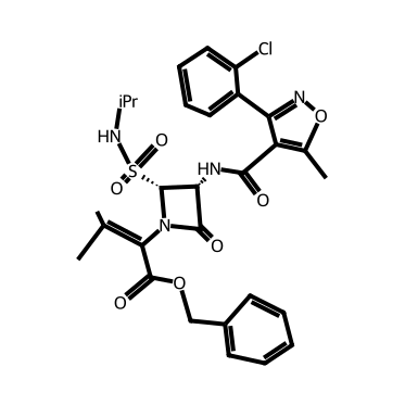 CC(C)=C(C(=O)OCc1ccccc1)N1C(=O)[C@@H](NC(=O)c2c(-c3ccccc3Cl)noc2C)[C@H]1S(=O)(=O)NC(C)C